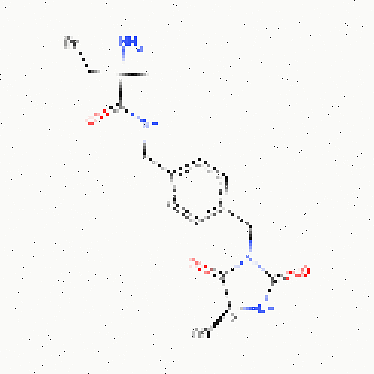 CCC[C@@H]1NC(=O)N(Cc2ccc(CNC(=O)C(C)(N)CC(C)C)cc2)C1=O